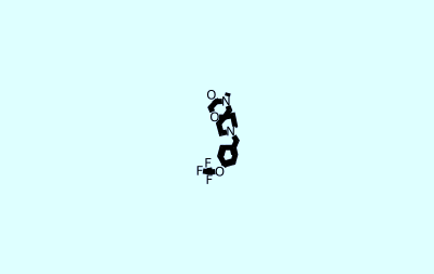 CN1CC2(CCN(Cc3ccc(OC(F)(F)F)cc3)CC2)OCC1=O